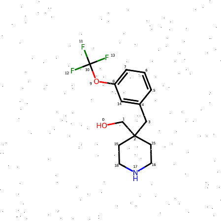 OCC1(Cc2cccc(OC(F)(F)F)c2)CCNCC1